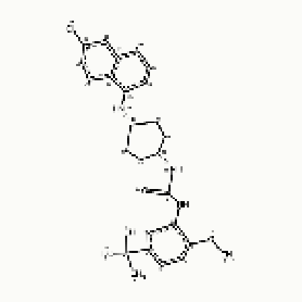 COc1ccc(C(C)(C)C)cc1NC(=O)N[C@H]1CC[C@@H](Nc2ccnc3cc(Cl)ccc23)CC1